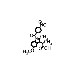 COc1ccc2c(c1)c(C(C)C(=O)O)c(C)n2C(=O)c1ccc([N+](=O)[O-])cc1